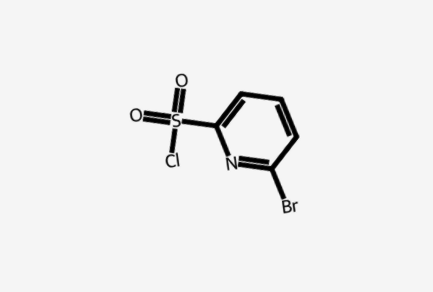 O=S(=O)(Cl)c1cccc(Br)n1